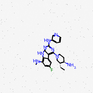 CC[C@@H]1CN(c2nc(Nc3cccnc3)nc3[nH]c4c(NC)cc(F)cc4c23)CC[C@H]1N